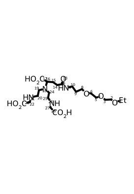 CCOCCOCCOCCCNC(=O)CCC(C(=O)O)N(CCNCC(=O)O)CCNCC(=O)O